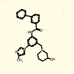 Cc1cn(-c2cc(CN3CCCC(O)C3)cc(NC(=O)c3cccc(-c4ccccc4)c3)c2)cn1